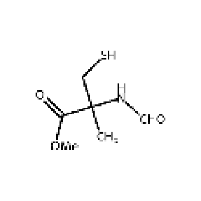 COC(=O)C(C)(CS)NC=O